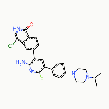 CC(C)N1CCN(c2ccc(-c3cc(-c4ccc5c(=O)[nH]cc(Cl)c5c4)c(N)nc3F)cc2)CC1